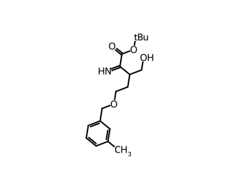 Cc1cccc(COCCC(CO)C(=N)C(=O)OC(C)(C)C)c1